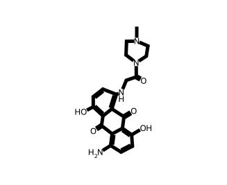 CN1CCN(C(=O)CNc2ccc(O)c3c2C(=O)c2c(O)ccc(N)c2C3=O)CC1